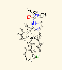 CN(C)C(=O)N1CCN(Cc2ccc(-c3ccccc3Cl)cc2)CC1Cc1ccccc1